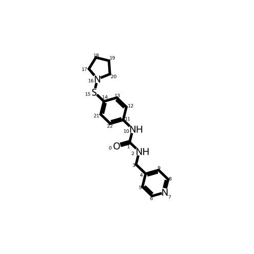 O=C(NCc1ccncc1)Nc1ccc(SN2CCCC2)cc1